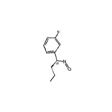 CCC[C@H](N=O)c1cccc(F)c1